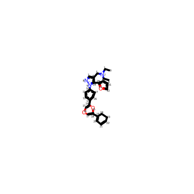 CCN(CC)Cc1cnn(-c2ccc(C3=COC=C(C4=CC=CCC4)O3)cc2)c1-c1ccco1